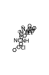 CCOc1ccc2c(Nc3ccc(OCc4ccccc4)c(Cl)c3)c(C#N)cnc2c1C(C(CCNC(=O)c1ccccc1O)N1CCCC1)N1CCCC1